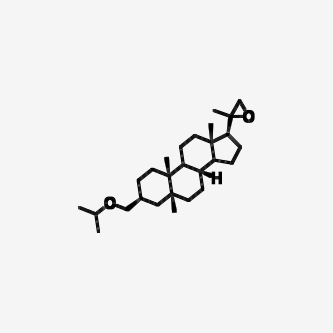 CC(C)OC[C@H]1CC[C@]2(C)C3CC[C@@]4(C)C(CC[C@@H]4C4(C)CO4)[C@@H]3CC[C@]2(C)C1